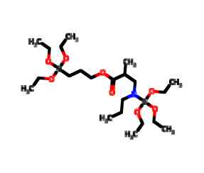 CCCN(CC(C)C(=O)OCCC[Si](OCC)(OCC)OCC)[Si](OCC)(OCC)OCC